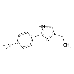 CCc1c[nH]c(-c2ccc(N)cc2)n1